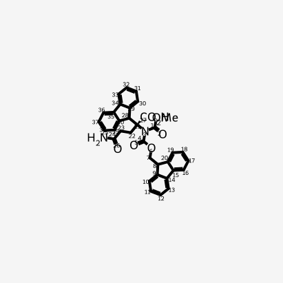 COC(=O)N(C(=O)OCC1c2ccccc2-c2ccccc21)[C@@](CCC(N)=O)(C(=O)O)C1c2ccccc2-c2ccccc21